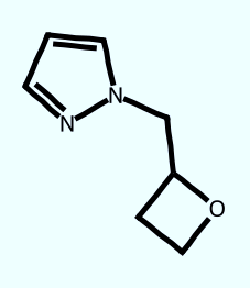 c1cnn(CC2CCO2)c1